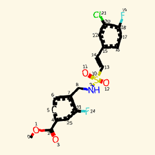 COC(=O)c1ccc(CNS(=O)(=O)C=Cc2ccc(F)c(Cl)c2)c(F)c1